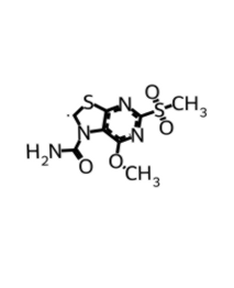 COc1nc(S(C)(=O)=O)nc2c1N(C(N)=O)[CH]S2